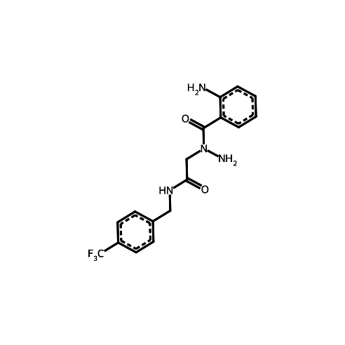 Nc1ccccc1C(=O)N(N)CC(=O)NCc1ccc(C(F)(F)F)cc1